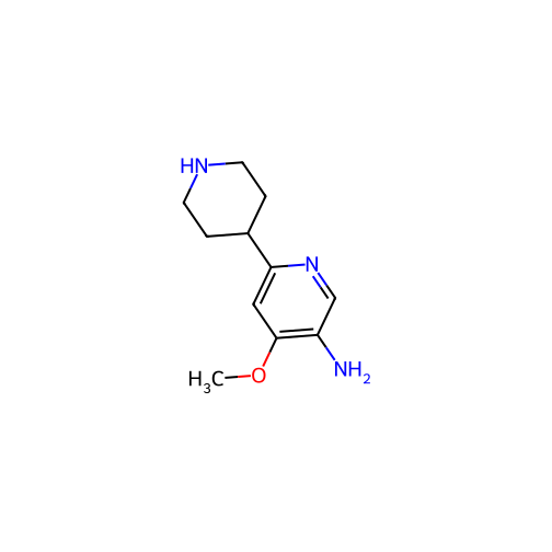 COc1cc(C2CCNCC2)ncc1N